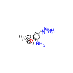 CC(C)(C)[Si](C)(C)Oc1ccc(/C=N/N=N)cc1N